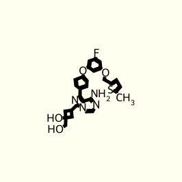 Cc1ccc(COc2cc(F)cc(Oc3ccc(-c4nc(C5CC(O)(CO)C5)n5ccnc(N)c45)cc3)c2)s1